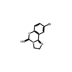 N=C1Sc2ccc(Br)cc2C2=NCCN12